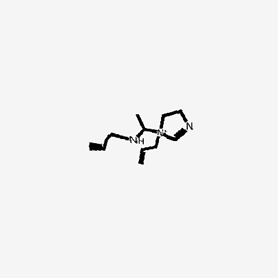 C=CCNC(C)[N+]1(CC=C)C=NCC1